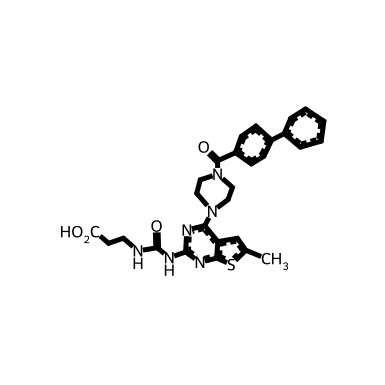 Cc1cc2c(N3CCN(C(=O)c4ccc(-c5ccccc5)cc4)CC3)nc(NC(=O)NCCC(=O)O)nc2s1